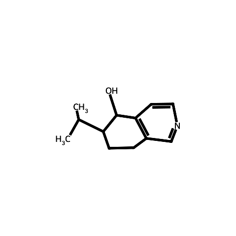 CC(C)C1CCc2cnccc2C1O